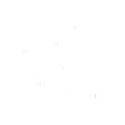 CCc1cccc(CC)c1N(C(C)=O)C(Cl)C(=O)O